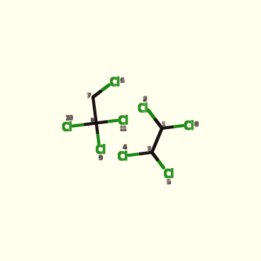 ClC(Cl)C(Cl)Cl.ClCC(Cl)(Cl)Cl